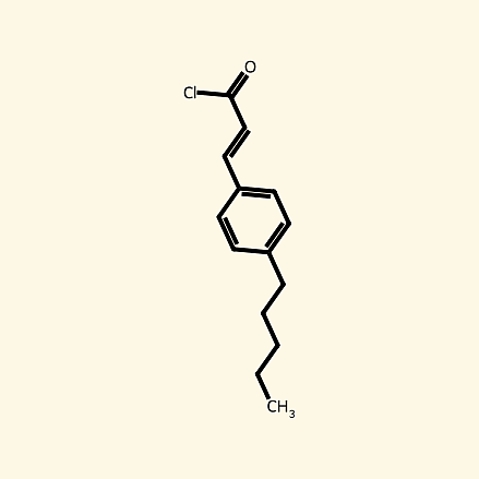 CCCCCc1ccc(C=CC(=O)Cl)cc1